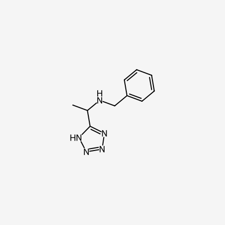 CC(NCc1ccccc1)c1nnn[nH]1